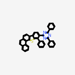 c1ccc(-c2nc(-c3ccccc3)nc(-c3ccc4c(sc5c4ccc4ccc6ccccc6c45)c3-c3ccccc3)n2)cc1